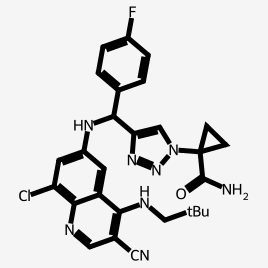 CC(C)(C)CNc1c(C#N)cnc2c(Cl)cc(NC(c3ccc(F)cc3)c3cn(C4(C(N)=O)CC4)nn3)cc12